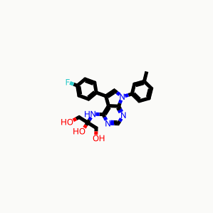 Cc1cccc(-n2cc(-c3ccc(F)cc3)c3c(NC(O)(CO)CO)ncnc32)c1